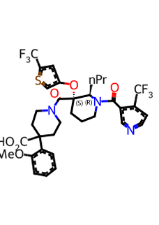 CCC[C@H]1N(C(=O)c2cnccc2C(F)(F)F)CCC[C@@]1(Oc1csc(C(F)(F)F)c1)C(=O)N1CCC(C(=O)O)(c2ccccc2OC)CC1